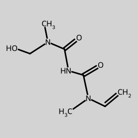 C=CN(C)C(=O)NC(=O)N(C)CO